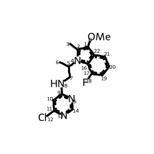 COc1c(C)n(C(C)CNc2cc(Cl)ncn2)c2c(F)cccc12